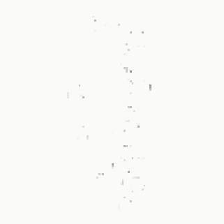 COc1cc(S(=O)(=O)O)c2nc3c(C#N)c(C)c(N=Nc4cc(C)c(N=Nc5cc(NC(C)=O)c(N=Nc6nc7c(S(=O)(=O)O)cc8c(OC)cc(S(=O)(=O)O)cc8c7s6)cc5SCCCS(=O)(=O)O)cc4OCCCS(=O)(=O)O)c(O)n3c2c1